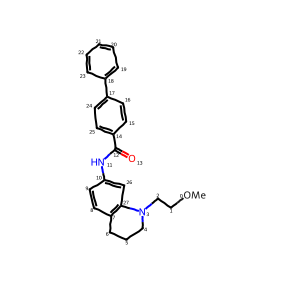 COCCN1CCCc2ccc(NC(=O)c3ccc(-c4ccccc4)cc3)cc21